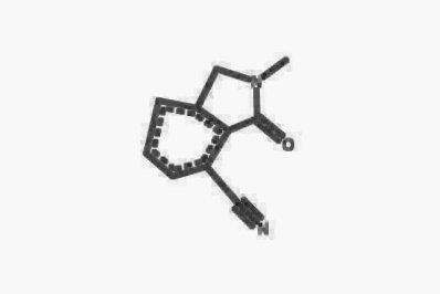 CN1Cc2cccc(C#N)c2C1=O